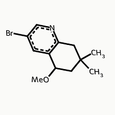 COC1CC(C)(C)Cc2ncc(Br)cc21